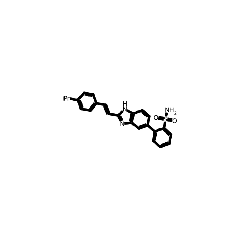 CC(C)c1ccc(/C=C/c2nc3cc(-c4ccccc4S(N)(=O)=O)ccc3[nH]2)cc1